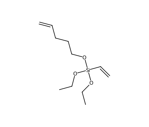 C=CCCCO[Si](C=C)(OCC)OCC